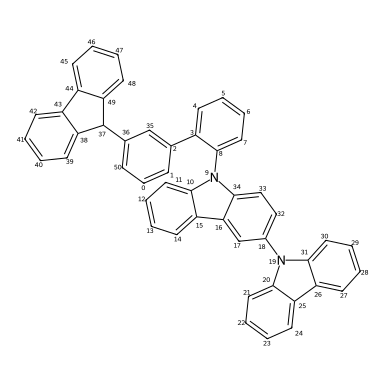 c1cc(-c2ccccc2-n2c3ccccc3c3cc(-n4c5ccccc5c5ccccc54)ccc32)cc(C2c3ccccc3-c3ccccc32)c1